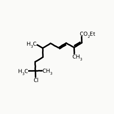 CCOC(=O)C=C(C)C=CCC(C)CCC(C)(C)Cl